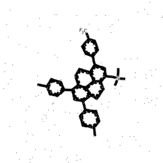 Cc1ccc(-c2cc(-c3ccc(C)cc3)c3ccc4c([Si](C)(C)C)cc(-c5ccc(C(F)(F)F)cc5)c5ccc2c3c54)cc1